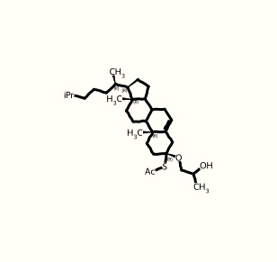 CC(=O)S[C@]1(OCC(C)O)CC[C@@]2(C)C(=CCC3C2CC[C@@]2(C)C3CC[C@@H]2[C@H](C)CCCC(C)C)C1